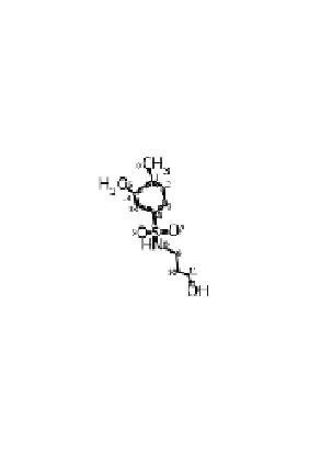 Cc1ccc(S(=O)(=O)NCCCO)cc1C